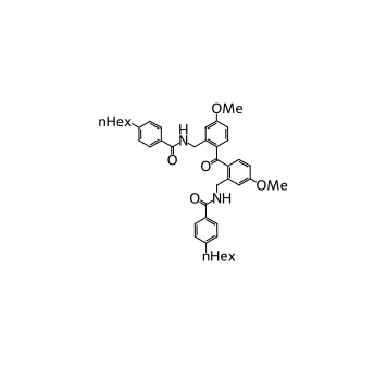 CCCCCCc1ccc(C(=O)NCc2cc(OC)ccc2C(=O)c2ccc(OC)cc2CNC(=O)c2ccc(CCCCCC)cc2)cc1